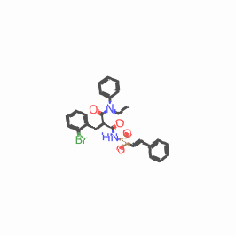 CCN(C(=O)C(Cc1ccccc1Br)C(=O)NS(=O)(=O)C=Cc1ccccc1)c1ccccc1